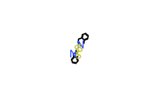 c1ccc2c(c1)CCN(SSc1nc3ccccc3s1)C2